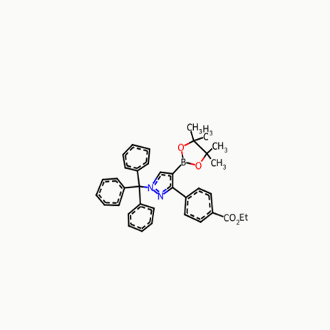 CCOC(=O)c1ccc(-c2nn(C(c3ccccc3)(c3ccccc3)c3ccccc3)cc2B2OC(C)(C)C(C)(C)O2)cc1